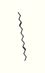 CCCC=CCCCCCC=CCCC